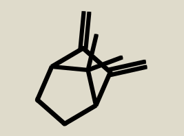 C=C1C(=C)C2CCC1C2(C)C